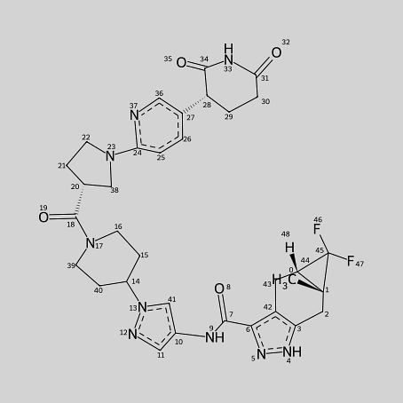 C[C@@]12Cc3[nH]nc(C(=O)Nc4cnn(C5CCN(C(=O)[C@@H]6CCN(c7ccc([C@H]8CCC(=O)NC8=O)cn7)C6)CC5)c4)c3C[C@@H]1C2(F)F